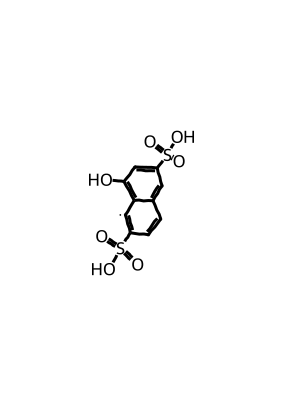 O=S(=O)(O)c1[c]c2c(O)cc(S(=O)(=O)O)cc2cc1